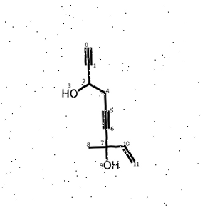 C#CC(O)CC#CC(C)(O)C=C